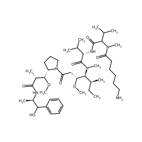 CC[C@H](C)[C@@H]([C@@H](CC(=O)N1CCC[C@H]1C(OC)[C@@H](C)C(=O)N[C@H](C)C(O)c1ccccc1)OC)N(C)C(=O)[C@@H](NC(=O)C(C(C)C)N(C)C(=O)CCCCCN)C(C)C